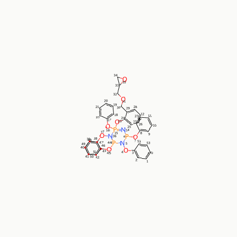 c1ccc(ON2P(Oc3ccccc3)N=P(Oc3ccccc3)(Oc3ccccc3COCC3CO3)N(Oc3ccccc3)P2Oc2ccccc2)cc1